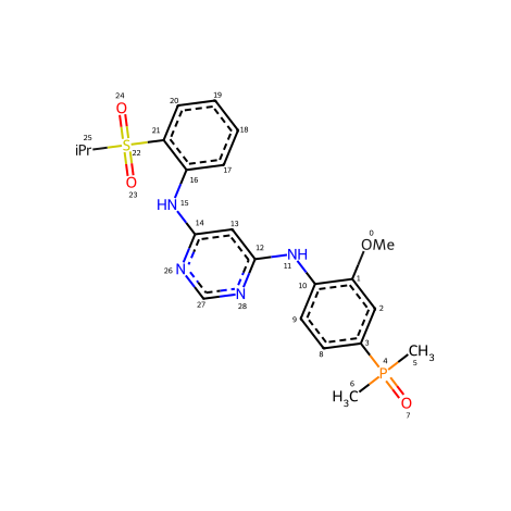 COc1cc(P(C)(C)=O)ccc1Nc1cc(Nc2ccccc2S(=O)(=O)C(C)C)ncn1